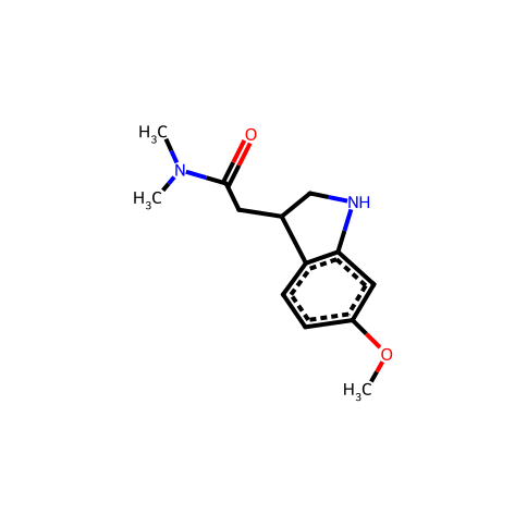 COc1ccc2c(c1)NCC2CC(=O)N(C)C